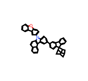 c1ccc2c(c1)-c1cc(-c3ccc4c(c3)c3c5ccccc5ccc3n4-c3ccc4oc5ccccc5c4c3)ccc1C21C2CC3CC4CC1C342